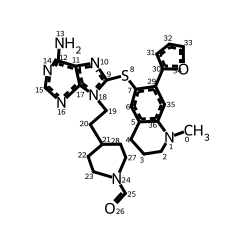 CN1CCCc2cc(Sc3nc4c(N)ncnc4n3CCC3CCN(C=O)CC3)c(-c3ccco3)cc21